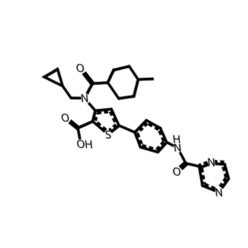 CC1CCC(C(=O)N(CC2CC2)c2cc(-c3ccc(NC(=O)c4cnccn4)cc3)sc2C(=O)O)CC1